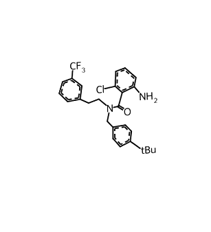 CC(C)(C)c1ccc(CN(CCc2cccc(C(F)(F)F)c2)C(=O)c2c(N)cccc2Cl)cc1